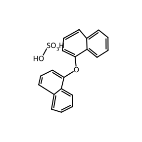 O=S(=O)(O)O.c1ccc2c(Oc3cccc4ccccc34)cccc2c1